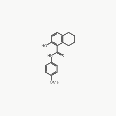 COc1ccc(NC(=S)c2c(O)ccc3c2CCCC3)cc1